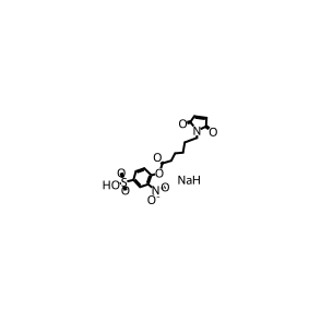 O=C(CCCCCN1C(=O)C=CC1=O)Oc1ccc(S(=O)(=O)O)cc1[N+](=O)[O-].[NaH]